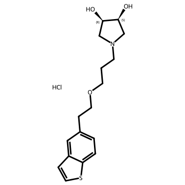 Cl.O[C@@H]1CN(CCCOCCc2ccc3sccc3c2)C[C@@H]1O